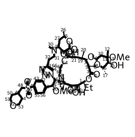 CC[C@H]1OC(=O)[C@H](C)[C@@H](O[C@H]2C[C@@](C)(OC)[C@@H](O)[C@H](C)O2)[C@H](C)[C@@H](O[C@@H]2O[C@H](C)C[C@H](N(C)CCc3cn([C@H](CF)[C@H](OC)c4ccc(S(=O)(=O)CC5CCOCC5)cc4)nn3)[C@H]2O)[C@](C)(O)C[C@@H](C)CN(C)[C@H](C)[C@@H](O)[C@]1(C)O